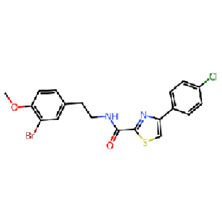 COc1ccc(CCNC(=O)c2nc(-c3ccc(Cl)cc3)cs2)cc1Br